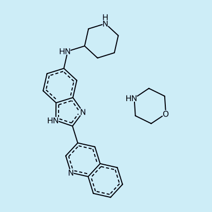 C1COCCN1.c1ccc2ncc(-c3nc4cc(NC5CCCNC5)ccc4[nH]3)cc2c1